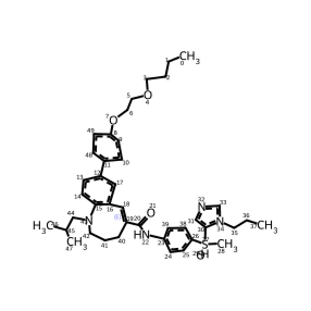 CCCCOCCOc1ccc(-c2ccc3c(c2)/C=C(/C(=O)Nc2ccc([SH](C)(=O)c4cncn4CCC)cc2)CCCN3CC(C)C)cc1